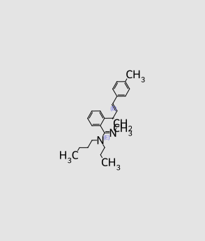 C=C(/C=C/c1ccc(C)cc1)c1ccccc1/C(=N\C)N(CCC)CCCC